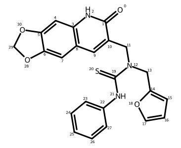 O=c1[nH]c2cc3c(cc2cc1CN(Cc1ccco1)C(=S)Nc1ccccc1)OCO3